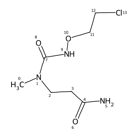 CN(CCC(N)=O)C(=O)NOCCCl